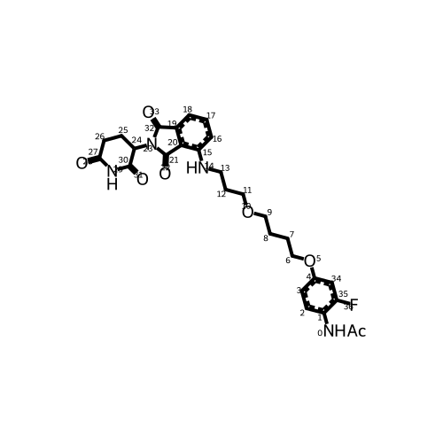 CC(=O)Nc1ccc(OCCCCOCCCNc2cccc3c2C(=O)N(C2CCC(=O)NC2=O)C3=O)cc1F